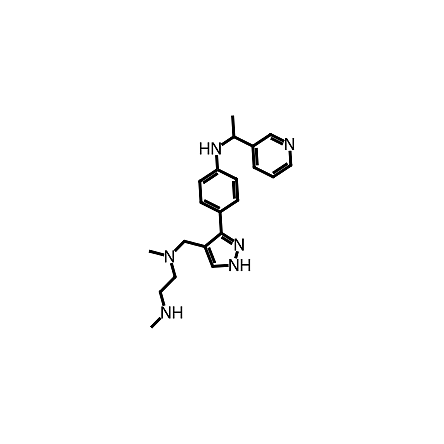 CNCCN(C)Cc1c[nH]nc1-c1ccc(NC(C)c2cccnc2)cc1